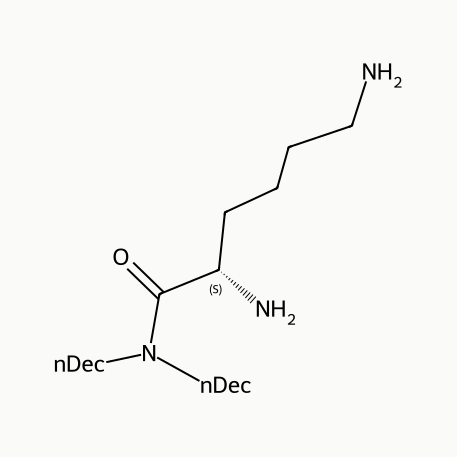 CCCCCCCCCCN(CCCCCCCCCC)C(=O)[C@@H](N)CCCCN